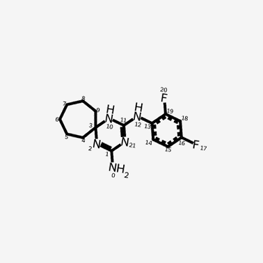 NC1=NC2(CCCCCC2)NC(Nc2ccc(F)cc2F)=N1